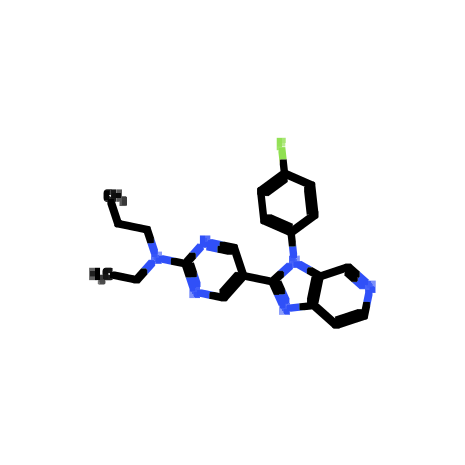 CCCN(CC)c1ncc(-c2nc3ccncc3n2-c2ccc(F)cc2)cn1